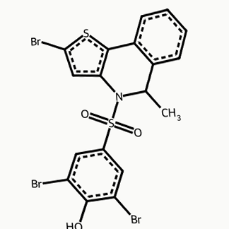 CC1c2ccccc2-c2sc(Br)cc2N1S(=O)(=O)c1cc(Br)c(O)c(Br)c1